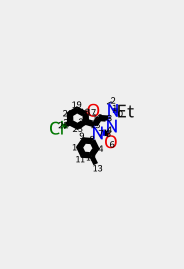 CCN(C)c1nc(=O)n(-c2cccc(C)c2)c2c1oc1ccc(Cl)cc12